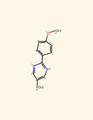 [CH2]CCCCCCCOc1ccc(-c2ncc(CCCCCCCC)cn2)cc1